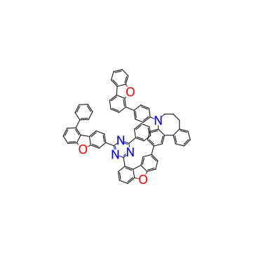 c1ccc(-c2nc(-c3ccc4c(c3)oc3cccc(-c5ccccc5)c34)nc(-c3cccc4oc5ccc(-c6ccc7c(c6)-c6ccccc6CCCN7c6ccc(-c7cccc8c7oc7ccccc78)cc6)cc5c34)n2)cc1